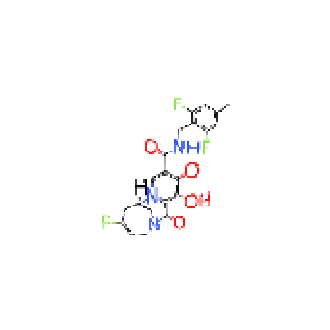 Cc1cc(F)c(CNC(=O)c2cn3c(c(O)c2=O)C(=O)N2CC=C(F)C[C@H]3C2)c(F)c1